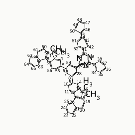 CC1(C)c2cc(-c3cc(-c4ccc5c(c4)C(C)(C)c4ccc6ccccc6c4-5)cc(-c4nc(-c5ccccc5)nc(-c5ccc(-c6ccccc6)cc5)n4)c3)ccc2-c2c1ccc1ccccc21